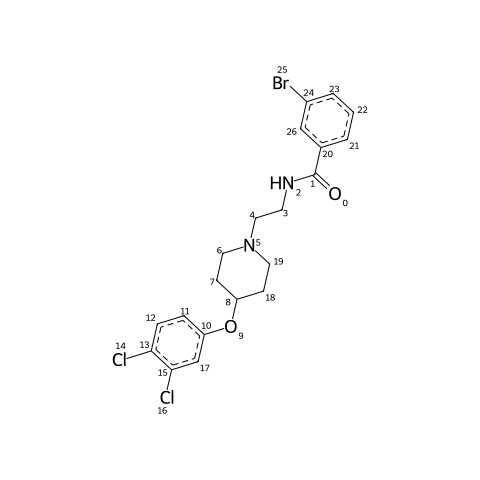 O=C(NCCN1CCC(Oc2ccc(Cl)c(Cl)c2)CC1)c1cccc(Br)c1